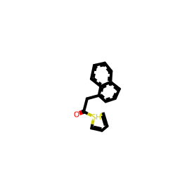 O=C(Cc1cccc2ccccc12)[SH]1C=CC=C1